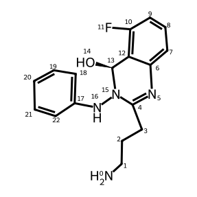 NCCCC1=Nc2cccc(F)c2[C@H](O)N1Nc1ccccc1